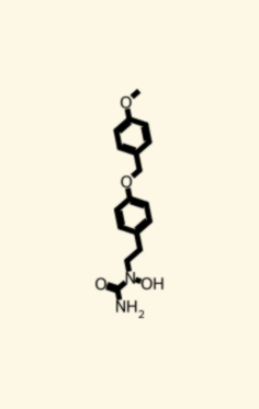 COc1ccc(COc2ccc(CCN(O)C(N)=O)cc2)cc1